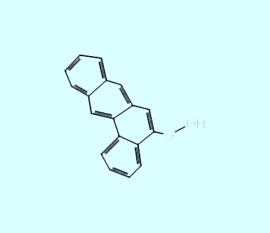 OOc1cc2cc3ccccc3cc2c2ccccc12